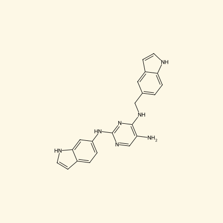 Nc1cnc(Nc2ccc3cc[nH]c3c2)nc1NCc1ccc2[nH]ccc2c1